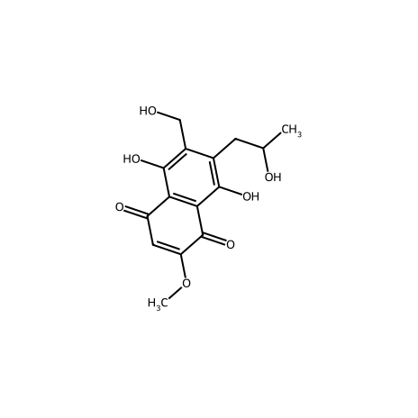 COC1=CC(=O)c2c(O)c(CO)c(CC(C)O)c(O)c2C1=O